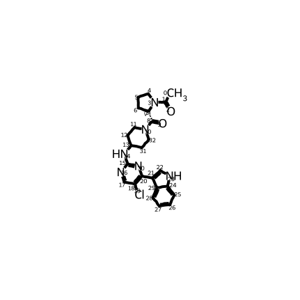 CC(=O)N1CCC[C@H]1C(=O)N1CCC(Nc2ncc(Cl)c(-c3c[nH]c4ccccc34)n2)CC1